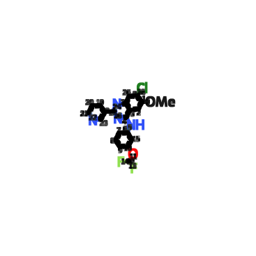 COc1cc2c(Nc3cccc(OC(F)F)c3)nc(-c3cccnc3)nc2cc1Cl